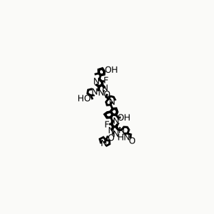 Cc1ccc(O)cc1-c1ncc2c(N3CCCC(C)(O)C3)nc(OCC34CCCN3C(c3ccc(CO)c5c(-c6ncc7c(N8CCCC9(CC(=O)N9)C8)nc(OCC89CCCN8CCC9)nc7c6F)cccc35)CC4)nc2c1F